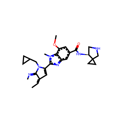 C/C=C1/C=C(c2nc3cc(C(=O)N[C@H]4CNCC45CC5)cc(OC)c3n2C)N(CC2CC2)/C1=N/C